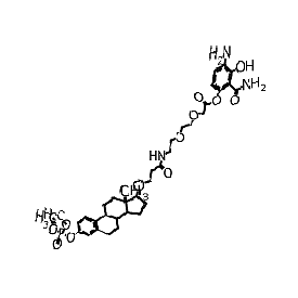 COP(=O)(OC)Oc1ccc2c(c1)CCC1C2CCC2(C)C(OCCC(=O)NCCOCCOCC(=O)Oc3ccc(N)c(O)c3C(N)=O)CCC12